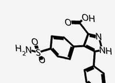 NS(=O)(=O)c1ccc(-c2c(C(=O)O)n[nH]c2-c2ccccc2)cc1